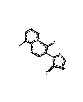 Cc1cccn2c(=O)c(-n3nc[nH]c3=O)cnc12